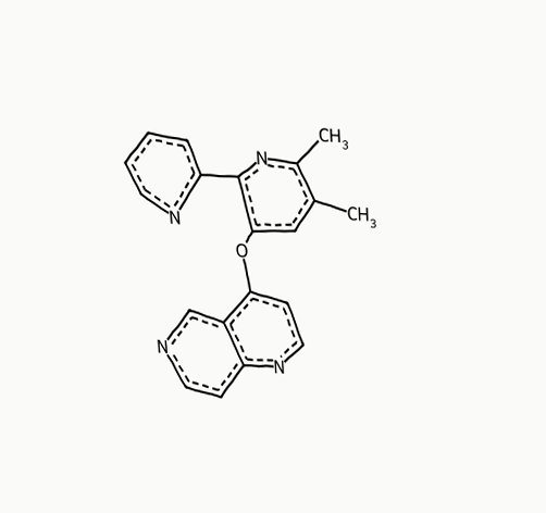 Cc1cc(Oc2ccnc3ccncc23)c(-c2ccccn2)nc1C